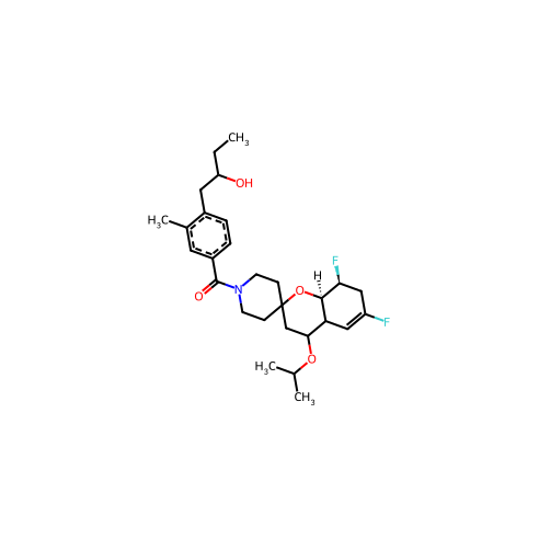 CCC(O)Cc1ccc(C(=O)N2CCC3(CC2)CC(OC(C)C)C2C=C(F)C[C@H](F)[C@@H]2O3)cc1C